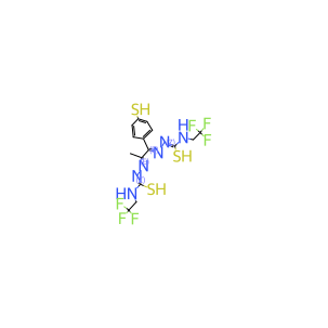 CC(=N\N=C(/S)NCC(F)(F)F)/C(=N/N=C(\S)NCC(F)(F)F)c1ccc(S)cc1